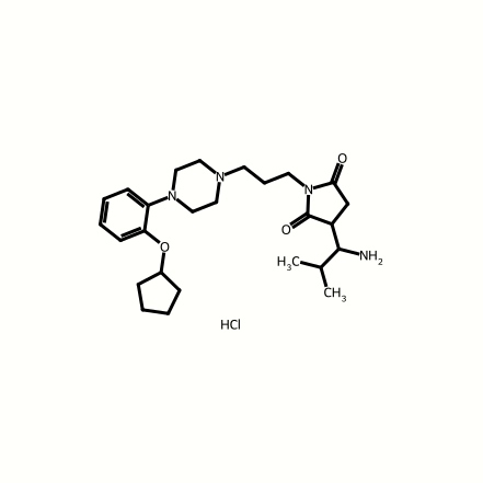 CC(C)C(N)C1CC(=O)N(CCCN2CCN(c3ccccc3OC3CCCC3)CC2)C1=O.Cl